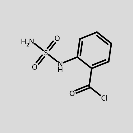 NS(=O)(=O)Nc1ccccc1C(=O)Cl